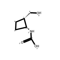 O=C(O)N[C@@H]1CC[C@@H]1CO